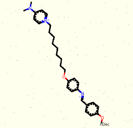 CCCCCCCCCCOc1ccc(/C=N/c2ccc(OCCCCCCCCC[n+]3ccc(N(C)C)cc3)cc2)cc1